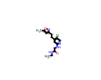 CCNC(=O)CNc1cc(CCc2cc(C)on2)c(Cl)cn1